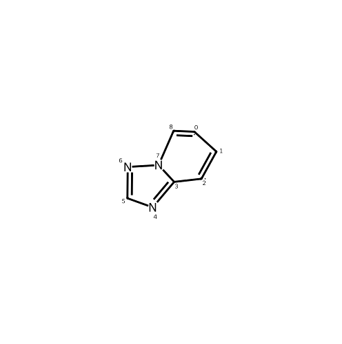 [c]1c[c]c2ncnn2c1